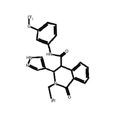 CC(C)CN1C(=O)c2ccccc2C(C(=O)Nc2cccc(OC(F)(F)F)c2)C1c1cn[nH]c1